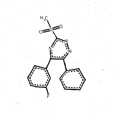 CS(=O)(=O)c1nnc(-c2ccccc2)c(-c2cccc(F)c2)n1